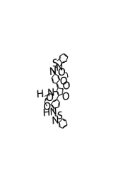 NC1=C(c2ccc(Nc3nc4ccccc4s3)c3c2OCCO3)C(=O)C(=O)/C1=C1C=C/C(=N/c2nc3ccccc3s2)C2=C/1OCCO2